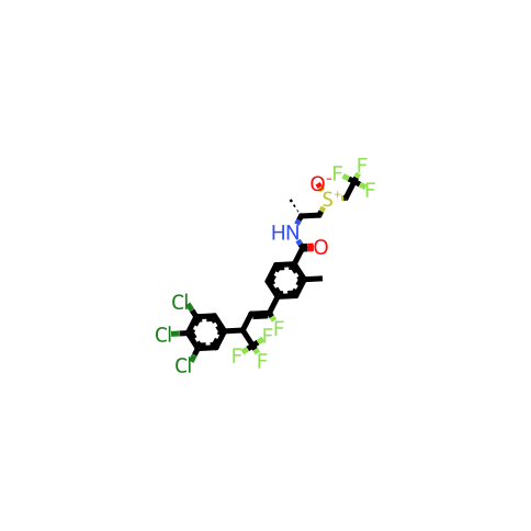 Cc1cc(/C(F)=C/C(c2cc(Cl)c(Cl)c(Cl)c2)C(F)(F)F)ccc1C(=O)N[C@H](C)C[S+]([O-])CC(F)(F)F